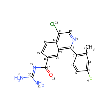 Cc1cc(F)ccc1-c1ncc(Cl)c2ccc(C(=O)N=C(N)N)cc12